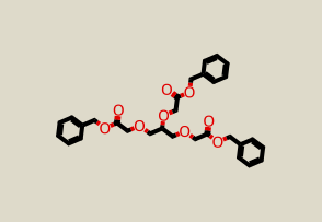 O=C(COCC(COCC(=O)OCc1ccccc1)OCC(=O)OCc1ccccc1)OCc1ccccc1